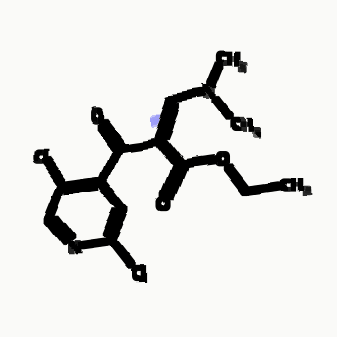 CCOC(=O)/C(=C\N(C)C)C(=O)c1cc(Cl)ncc1Cl